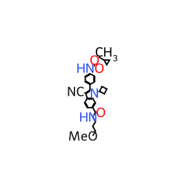 COCCCNC(=O)c1ccc2c(C#N)c(-c3ccc(NC(=O)O[C@H](C)C4CC4)cc3)n(C3CCC3)c2c1